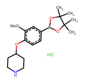 COc1cc(B2OC(C)(C)C(C)(C)O2)ccc1OC1CCNCC1.Cl